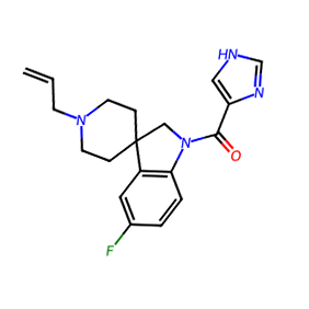 C=CCN1CCC2(CC1)CN(C(=O)c1c[nH]cn1)c1ccc(F)cc12